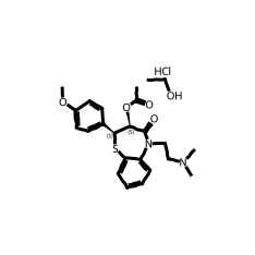 CCO.COc1ccc([C@@H]2Sc3ccccc3N(CCN(C)C)C(=O)[C@@H]2OC(C)=O)cc1.Cl